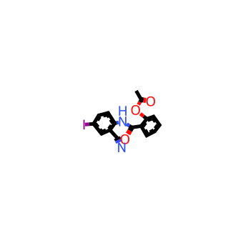 CC(=O)Oc1ccccc1C(=O)Nc1ccc(I)cc1C#N